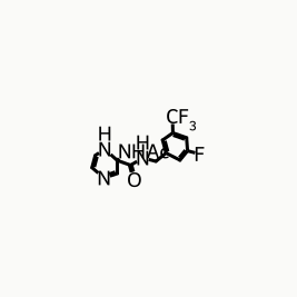 CC(=O)NC1(C(=O)NCc2cc(F)cc(C(F)(F)F)c2)C=NC=CN1